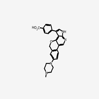 CN1CCN(c2ccc3c(c2)COc2c-3cnc3[nH]cc(-c4ccc(C(=O)O)cc4)c23)CC1